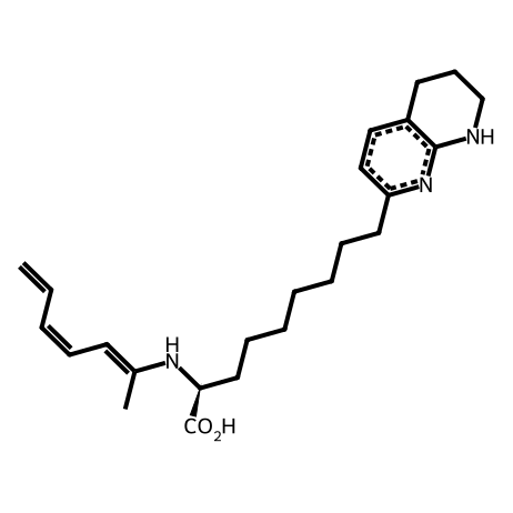 C=C/C=C\C=C(/C)N[C@@H](CCCCCCCc1ccc2c(n1)NCCC2)C(=O)O